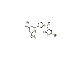 Cc1cc(OC(C)C)cc(C2CCN(C(=O)c3cc(C(C)C)n[nH]3)C2)n1